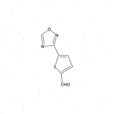 O=Cc1ccc(-c2ncon2)s1